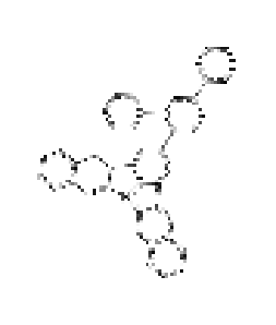 C1=C2C(Cc3ccccc31)c1cc(-c3ccc(-c4ccccc4)cc3-c3ccccc3)cc3c4cc5ccccc5cc4n2c13